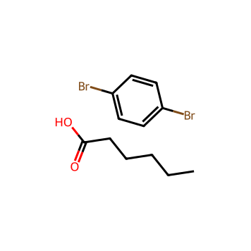 Brc1ccc(Br)cc1.CCCCCC(=O)O